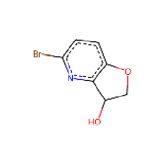 OC1COc2ccc(Br)nc21